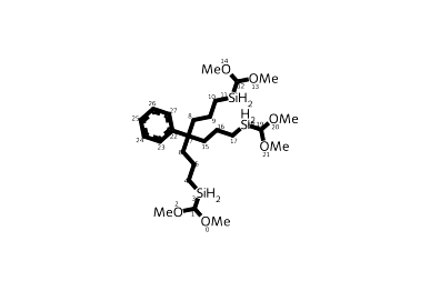 COC(OC)[SiH2]CCCC(CCC[SiH2]C(OC)OC)(CCC[SiH2]C(OC)OC)c1ccccc1